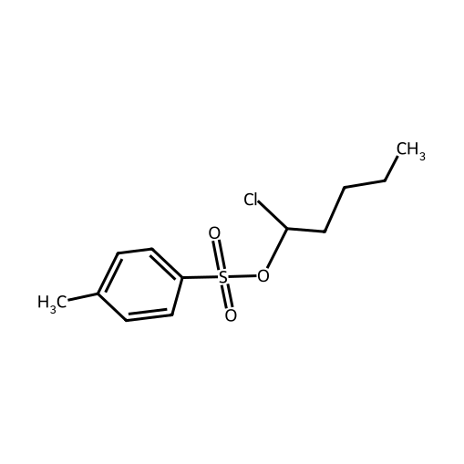 CCCCC(Cl)OS(=O)(=O)c1ccc(C)cc1